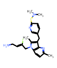 Cc1ccc2c(n1)c(Cc1ccc(SN(C)C)nc1)c(C)n2C/C(F)=C/CN